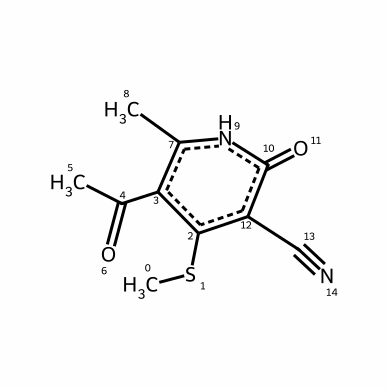 CSc1c(C(C)=O)c(C)[nH]c(=O)c1C#N